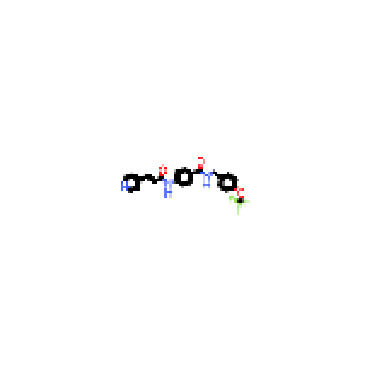 O=C(/C=C/c1ccncc1)Nc1ccc(C(=O)NCc2ccc(OC(F)(F)F)cc2)cc1